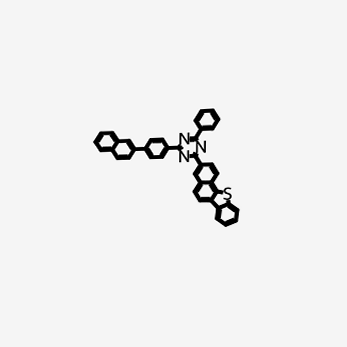 c1ccc(-c2nc(-c3ccc(-c4ccc5ccccc5c4)cc3)nc(-c3ccc4c(ccc5c6ccccc6sc45)c3)n2)cc1